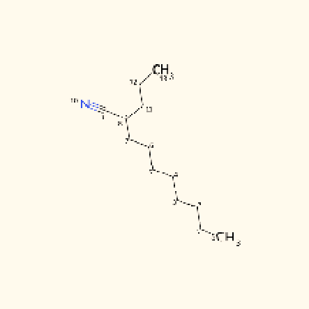 CCCCCCCC[C](C#N)CCC